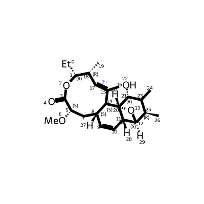 CC[C@H]1OC(=O)[C@@H](OC)C[C@H]2C=C[C@H]3[C@H]4O[C@]2(/C(C)=C/[C@H]1C)[C@@H]3[C@H](O)C(C)[C@H]4C